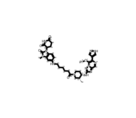 CC(C)Oc1c(-c2cn[nH]c2)ncc2nc(N[C@H]3CCN(C(=O)CCCCCNc4ccc5c(c4)n(C)c(=O)n5C4CCC(=O)NC4=O)C[C@H]3C)nn12